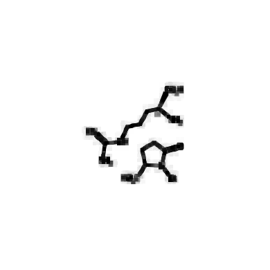 CCN1C(=O)CCC1C(=O)O.N=C(N)NCCC[C@H](N)C(=O)O